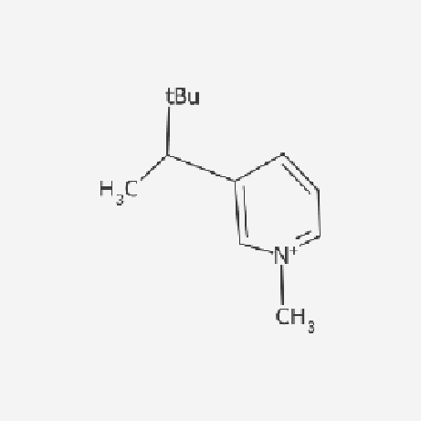 CC(c1ccc[n+](C)c1)C(C)(C)C